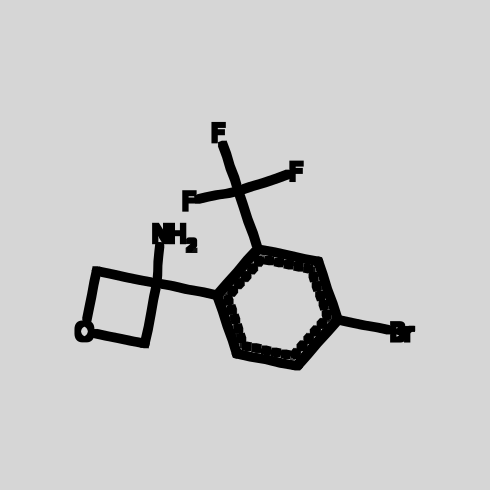 NC1(c2ccc(Br)cc2C(F)(F)F)COC1